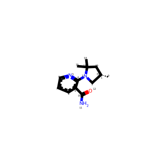 C[C@@H]1CN(c2ncccc2C(N)=O)C(C)(C)C1